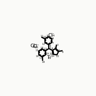 CC1=C(C)C(C(c2cccc(C)c2)c2cccc(C)c2)=[C]([Ti+3])C1.[Cl-].[Cl-].[Cl-]